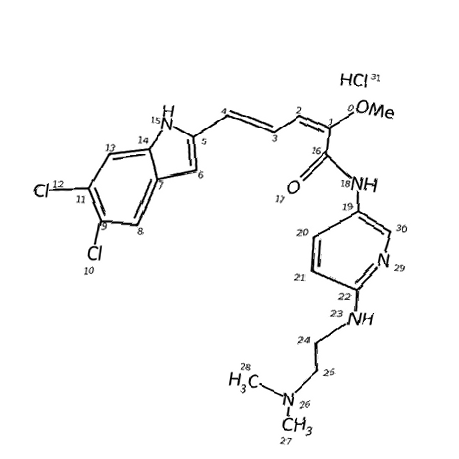 COC(=CC=Cc1cc2cc(Cl)c(Cl)cc2[nH]1)C(=O)Nc1ccc(NCCN(C)C)nc1.Cl